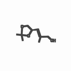 C/C(=C\[C@@H]1COC(C)(C)O1)CO